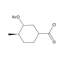 CC(=O)OC1CC(C(=O)Cl)CC[C@H]1C